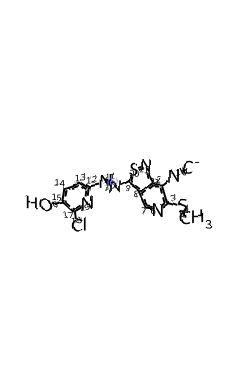 [C-]#[N+]c1c(SC)ncc2c(/N=N/c3ccc(O)c(Cl)n3)snc12